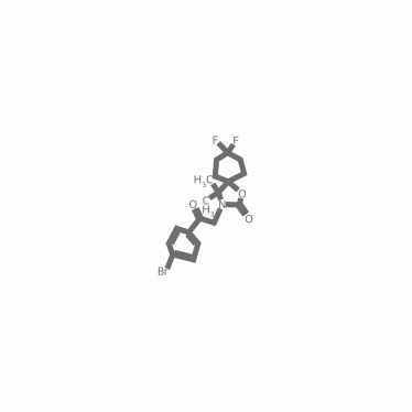 CC1(C)N(CC(=O)c2ccc(Br)cc2)C(=O)OC12CCC(F)(F)CC2